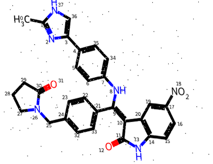 Cc1nc(-c2ccc(NC(=C3C(=O)Nc4ccc([N+](=O)[O-])cc43)c3ccc(CN4CCCC4=O)cc3)cc2)c[nH]1